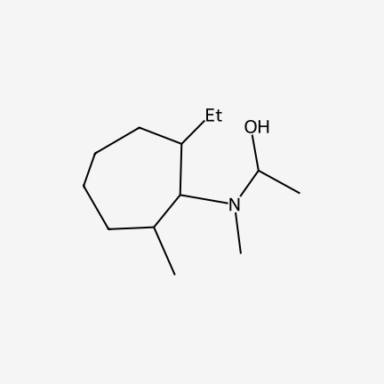 CCC1CCCCC(C)C1N(C)C(C)O